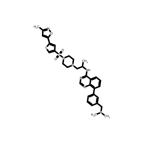 Cc1cc(-c2cc(S(=O)(=O)N3CCN(CC(C)Nc4ncnc5c(-c6cccc(CN(C)C)c6)cccc45)CC3)cs2)on1